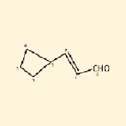 O=C/C=C/C1CCC1